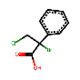 O=C(O)C(Br)(CCl)c1ccccc1